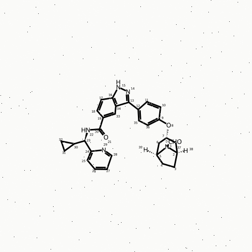 O=CN1[C@@H]2CC[C@H]1C[C@H](Oc1ccc(-c3n[nH]c4ccc(C(=O)N[C@@H](c5ccccn5)C5CC5)cc34)cc1)C2